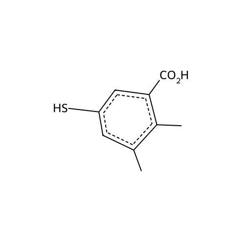 Cc1cc(S)cc(C(=O)O)c1C